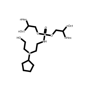 CCCCCCCCC(CCCCCC)COP(=O)(NCCN(CCO)C1CCCC1)OCC(CCCCCC)CCCCCCCC